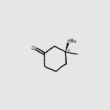 CCCC[C@@]1(C)CCCC(=O)C1